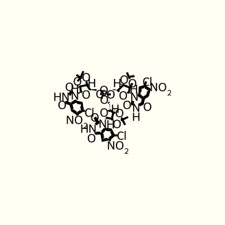 CC1(C)O[C@@H]2[C@H](O1)[C@@H](COP(=O)(OC[C@H]1O[C@@H](n3c(=O)[nH]c(=O)c4cc([N+](=O)[O-])c(Cl)cc43)[C@@H]3OC(C)(C)O[C@@H]31)OC[C@H]1O[C@@H](n3c(=O)[nH]c(=O)c4cc([N+](=O)[O-])c(Cl)cc43)[C@@H]3OC(C)(C)O[C@@H]31)O[C@H]2n1c(=O)[nH]c(=O)c2cc([N+](=O)[O-])c(Cl)cc21